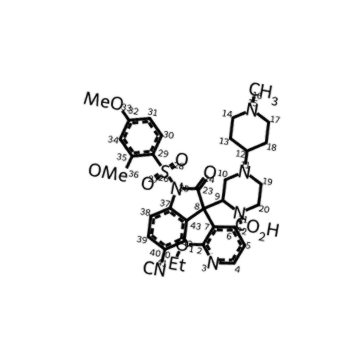 CCOc1ncccc1C1(C2CN(C3CCN(C)CC3)CCN2C(=O)O)C(=O)N(S(=O)(=O)c2ccc(OC)cc2OC)c2ccc(C#N)cc21